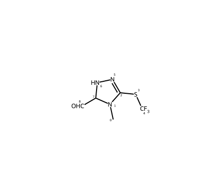 CN1C(SC(F)(F)F)=NNC1C=O